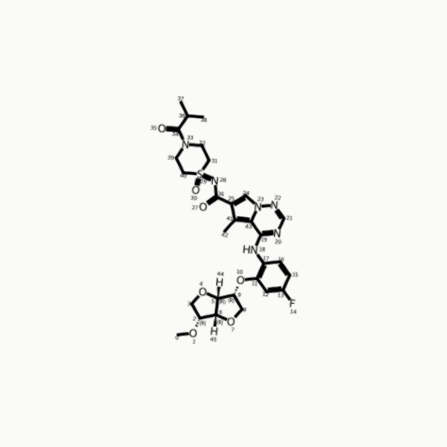 CO[C@@H]1CO[C@H]2[C@@H]1OC[C@H]2Oc1cc(F)ccc1Nc1ncnn2cc(C(=O)N=S3(=O)CCN(C(=O)C(C)C)CC3)c(C)c12